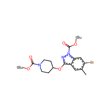 Cc1cc2c(OC3CCN(C(=O)OC(C)(C)C)CC3)nn(C(=O)OC(C)(C)C)c2cc1Br